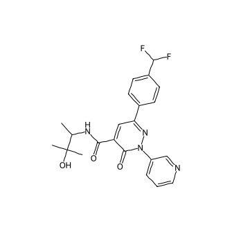 CC(NC(=O)c1cc(-c2ccc(C(F)F)cc2)nn(-c2cccnc2)c1=O)C(C)(C)O